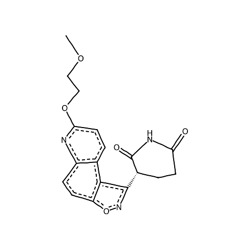 COCCOc1ccc2c(ccc3onc([C@H]4CCC(=O)NC4=O)c32)n1